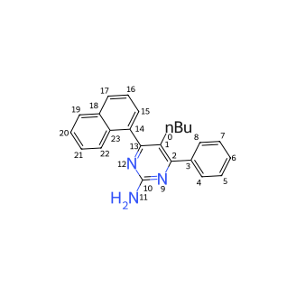 CCCCc1c(-c2ccccc2)nc(N)nc1-c1cccc2ccccc12